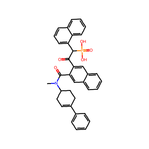 CN(C(=O)c1cc2ccccc2cc1C(=O)C(c1cccc2ccccc12)P(=O)(O)O)C1CC=C(c2ccccc2)CC1